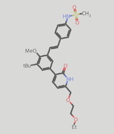 CCOCCOCc1ccc(-c2cc(C=Cc3ccc(NS(C)(=O)=O)cc3)c(OC)c(C(C)(C)C)c2)c(=O)[nH]1